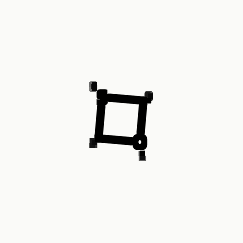 [CH]1OCS1